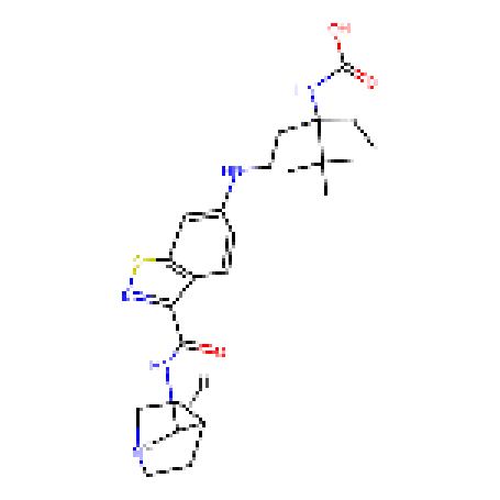 CCC(CCNc1ccc2c(C(=O)N[C@@H]3CN4CCC3CC4)nsc2c1)(NC(=O)O)C(C)(C)C